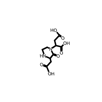 O=C(O)CC1NCCN(C(CC(=O)O)C(=O)O)C1=O